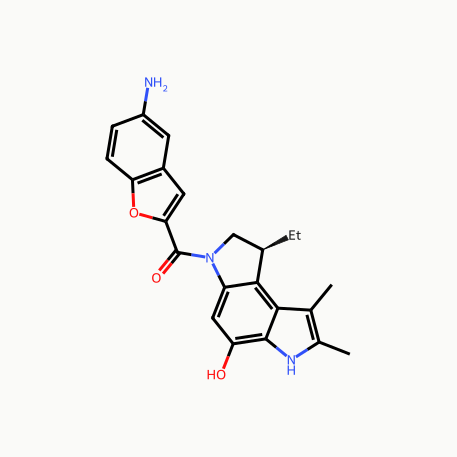 CC[C@@H]1CN(C(=O)c2cc3cc(N)ccc3o2)c2cc(O)c3[nH]c(C)c(C)c3c21